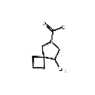 CC1CN(C(=O)O)CC12CCC2